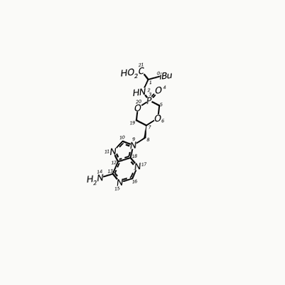 CCC(C)C(NP1(=O)CO[C@@H](Cn2cnc3c(N)ncnc32)CO1)C(=O)O